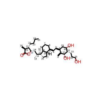 C=C1/C(=C\C=C2/CCC[C@]3(C)[C@@H]([C@H](C)C[C@@H]4OC(=O)C(=C)[C@@H]4CCCC)CC[C@@H]23)C[C@@H](O)[C@H](CCCO)[C@@H]1O